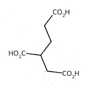 O=C(O)[CH]C(CCC(=O)O)C(=O)O